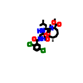 COC(=O)[C@H]1CCC[C@H](C)C(=O)OB([C@H](CC(C)C)NC(=O)CNC(=O)c2cc(Cl)ccc2Cl)N1C